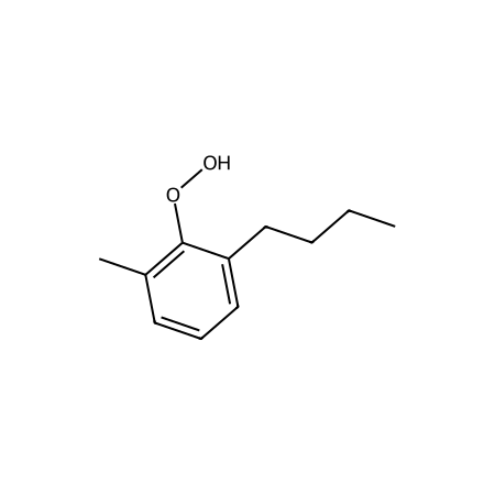 CCCCc1cccc(C)c1OO